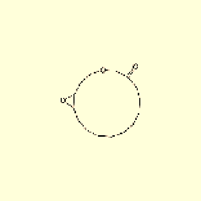 O=C1CCCCCCCCCC2OC2CCOC1